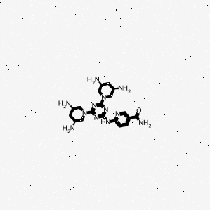 NC(=O)c1ccc(Nc2nc(N3C[C@H](N)C[C@H](N)C3)nc(N3C[C@H](N)C[C@H](N)C3)n2)nc1